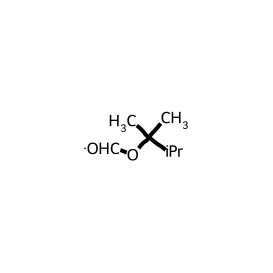 CC(C)C(C)(C)O[C]=O